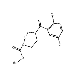 CC(C)(C)OC(=O)N1CCC(C(=O)c2cc(Cl)ccc2Cl)CC1